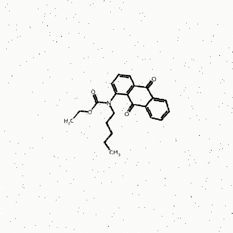 CCCCCN(C(=O)OCC)c1cccc2c1C(=O)c1ccccc1C2=O